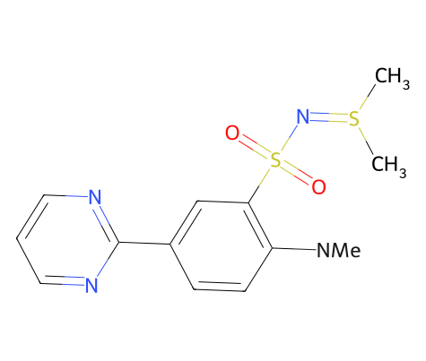 CNc1ccc(-c2ncccn2)cc1S(=O)(=O)N=S(C)C